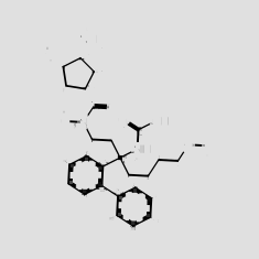 COCCCCC(CCN(C)C(=O)[C@H]1C[C@@H](N)[C@@H](O)C1)(NC(C)=O)c1ccccc1-c1ccccc1